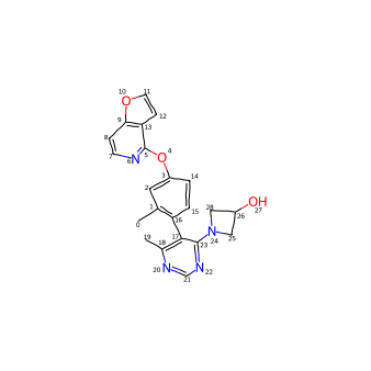 Cc1cc(Oc2nccc3occc23)ccc1-c1c(C)ncnc1N1CC(O)C1